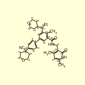 CCN(c1cc(-c2ccc(C3(C#N)CCOCC3)cc2)cc(C(=O)NCc2c(C)cc(C)[nH]c2=O)c1C)C1CCOCC1